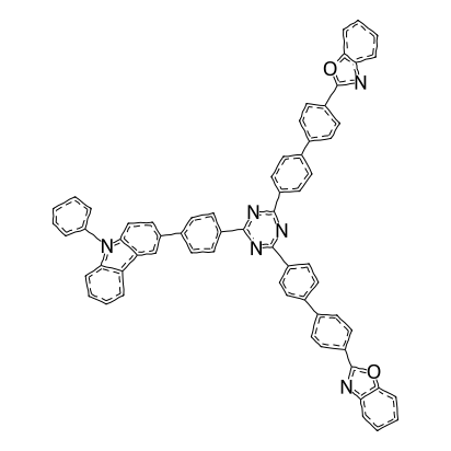 c1ccc(-n2c3ccccc3c3cc(-c4ccc(-c5nc(-c6ccc(-c7ccc(-c8nc9ccccc9o8)cc7)cc6)nc(-c6ccc(-c7ccc(-c8nc9ccccc9o8)cc7)cc6)n5)cc4)ccc32)cc1